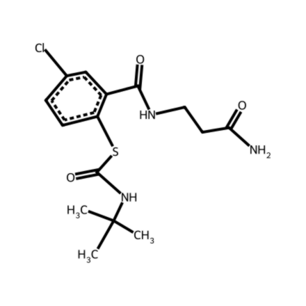 CC(C)(C)NC(=O)Sc1ccc(Cl)cc1C(=O)NCCC(N)=O